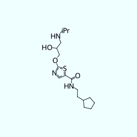 CC(C)NCC(O)COc1ncc(C(=O)NCCC2CCCC2)s1